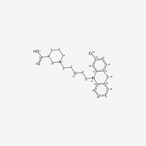 O=C(O)C1CCCN(CCOCCN2c3ccccc3Sc3ccc(Cl)cc32)C1